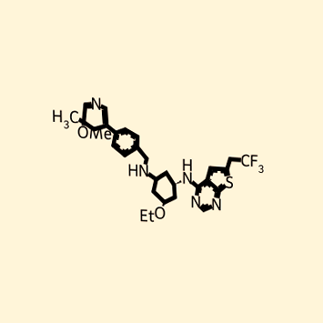 CCO[C@@H]1CC(NCc2ccc(C3=CN=CC(C)(OC)C3)cc2)C[C@H](Nc2ncnc3sc(CC(F)(F)F)cc23)C1